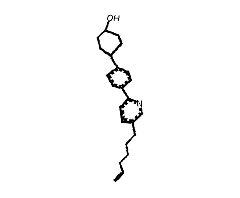 C=CCCCCc1ccc(-c2ccc(C3CCC(O)CC3)cc2)nc1